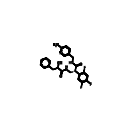 Nc1ccc(CNC(=O)[C@@H](CNC(=O)[C@H](O)Cc2ccccc2)c2cc(F)c(F)cc2F)cn1